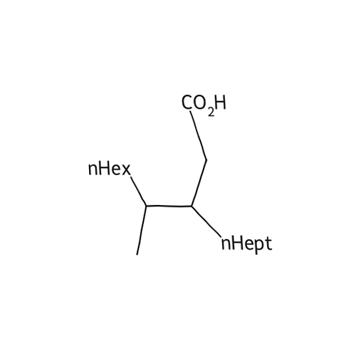 CCCCCCCC(CC(=O)O)C(C)CCCCCC